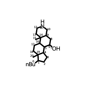 CCCCC1CCC2C3C(O)CC4CNCCC4(C)C3CCC12C